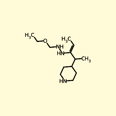 C/C=C(\NNCOCC)C(C)C1CCNCC1